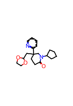 O=C1CCC(CC2OCCO2)(c2ccccn2)CN1C1CCCC1